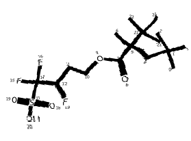 CC(C)(C)CC(C)(C(=O)OCCC(F)C(F)(F)S(=O)(=O)O)C(C)(C)C